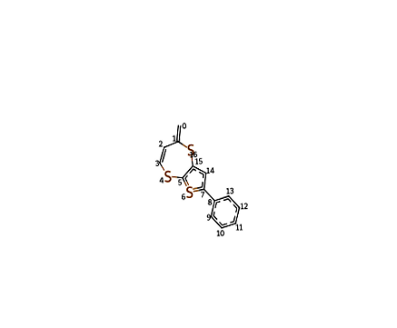 C=C1C=CSc2sc(-c3ccccc3)cc2S1